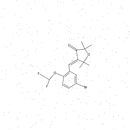 CC1(C)OC(C)(C)/C(=C\c2cc(Br)ccc2OC(F)F)C1=O